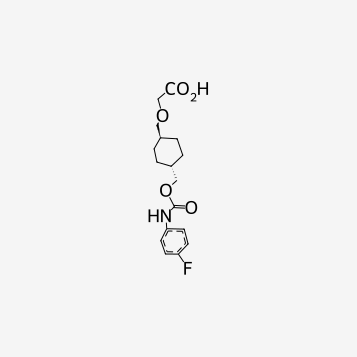 O=C(O)COC[C@H]1CC[C@H](COC(=O)Nc2ccc(F)cc2)CC1